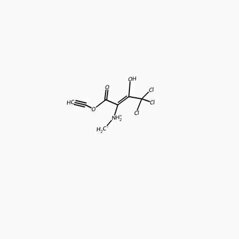 C#COC(=O)/C([NH2+][CH2-])=C(\O)C(Cl)(Cl)Cl